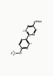 CCCCCCc1cnc(-c2ccc(OC(F)(F)F)cc2)nc1